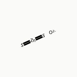 [O-2].[S]=[Zn]=[S]